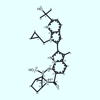 Cc1c(-c2cc3ccc(C(C)(C)O)nc3n2CC2CC2)nn2cc(C(=O)N3CC4CCC3[C@@H]4N(C(=O)O)C(C)(C)C)ccc12